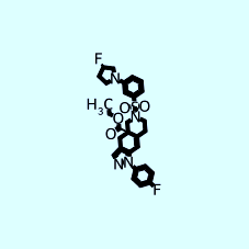 CCOC(=O)[C@]12Cc3cnn(-c4ccc(F)cc4)c3C=C1CCN(S(=O)(=O)c1cccc(N3CC[C@@H](F)C3)c1)C2